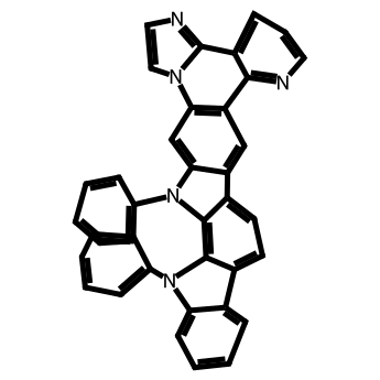 c1ccc(-n2c3ccccc3c3ccc4c5cc6c7ncccc7c7nccn7c6cc5n(-c5ccccc5)c4c32)cc1